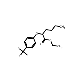 CCCCC(Oc1ccc(C(F)(F)F)cc1)C(=O)OCC